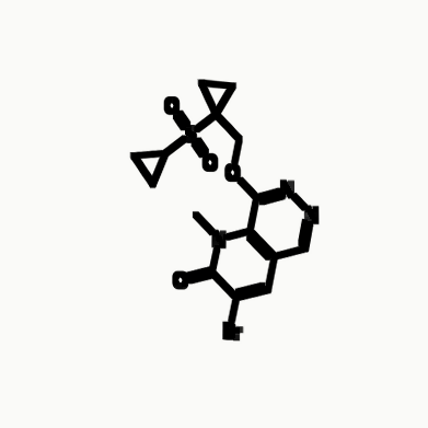 Cn1c(=O)c(Br)cc2cnnc(OCC3(S(=O)(=O)C4CC4)CC3)c21